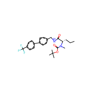 CCC[C@@H](C(=O)NCc1ccc(-c2ccc(C(F)(F)F)cc2)cc1)N(C)C(=O)OC(C)(C)C